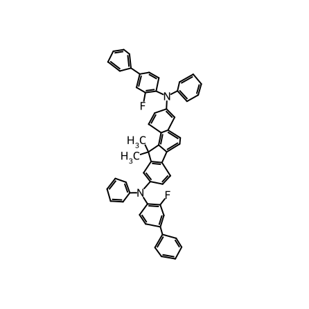 CC1(C)c2cc(N(c3ccccc3)c3ccc(-c4ccccc4)cc3F)ccc2-c2ccc3cc(N(c4ccccc4)c4ccc(-c5ccccc5)cc4F)ccc3c21